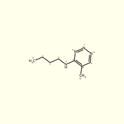 CCCCNc1nnn[c]c1C